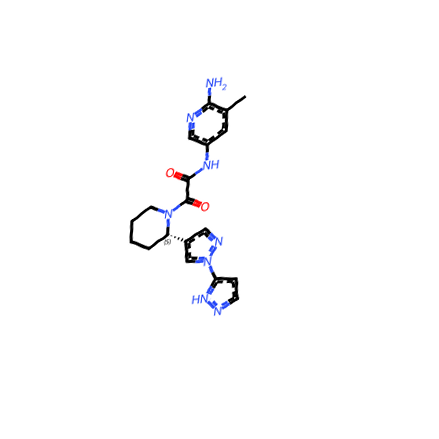 Cc1cc(NC(=O)C(=O)N2CCCC[C@H]2c2cnn(-c3ccn[nH]3)c2)cnc1N